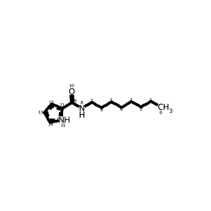 CCCCCCCCNC(=O)c1ccc[nH]1